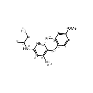 COc1ccc(Oc2cnc(NC(C)CO)nc2N)c(C(C)C)c1